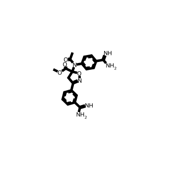 COC(=O)C1(N(C(C)=O)c2ccc(C(=N)N)cc2)CC(c2cccc(C(=N)N)c2)=NO1